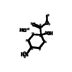 COC(=O)C1(O)CCC(N)CC1.Cl